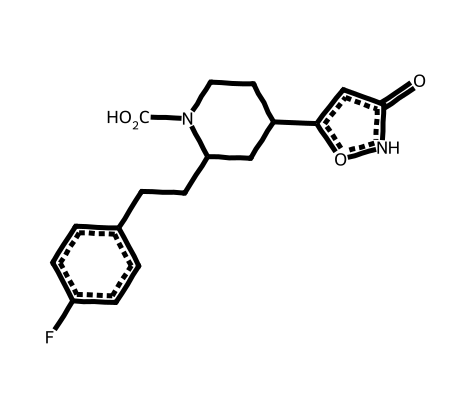 O=C(O)N1CCC(c2cc(=O)[nH]o2)CC1CCc1ccc(F)cc1